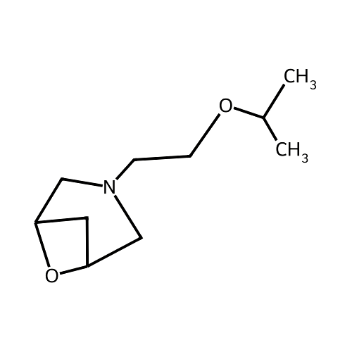 CC(C)OCCN1CC2CC(C1)O2